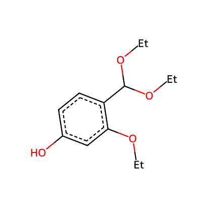 CCOc1cc(O)ccc1C(OCC)OCC